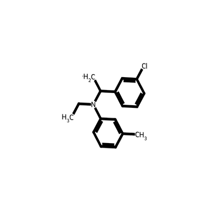 [CH2]C(c1cccc(Cl)c1)N(CC)c1cccc(C)c1